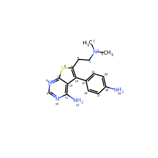 CN(C)CCc1sc2ncnc(N)c2c1-c1ccc(N)cc1